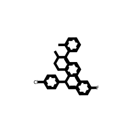 Cc1ccccc1C1=c2ccc3c(c2CCC1C)C(c1ccc(Cl)cc1)C=c1ccc(F)cc1=3